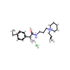 C=CC[N+]1(CCCNC(=O)C(C)c2ccc(CC(C)C)cc2)CCCCC1.[Br-]